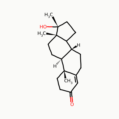 C[C@]12CCC(=O)C=C1CC[C@H]1C3CC[C@@](C)(O)[C@@]3(C)CC[C@@H]12